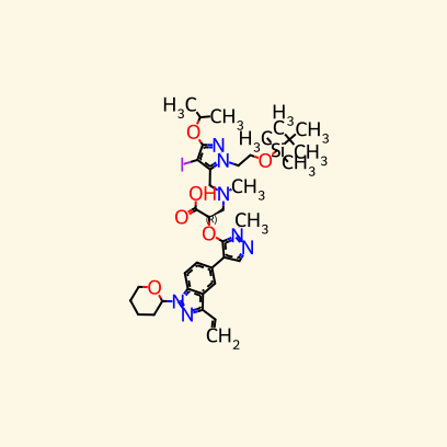 C=Cc1nn(C2CCCCO2)c2ccc(-c3cnn(C)c3O[C@H](CN(C)Cc3c(I)c(OC(C)C)nn3CCO[Si](C)(C)C(C)(C)C)C(=O)O)cc12